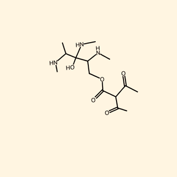 CNC(C)C(O)(NC)C(COC(=O)C(C(C)=O)C(C)=O)NC